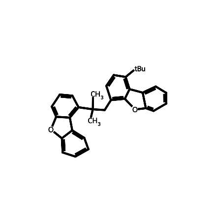 CC(C)(C)c1ccc(CC(C)(C)c2cccc3oc4ccccc4c23)c2oc3ccccc3c12